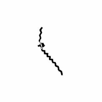 CCCCCCCCCCCCCCCn1cc[n+](CCCCCC)c1C